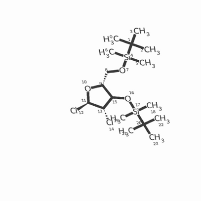 CC(C)(C)[Si](C)(C)OC[C@H]1O[C@H](Cl)[C@@H](Cl)C1O[Si](C)(C)C(C)(C)C